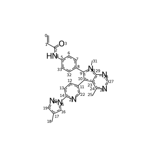 C=CC(=O)Nc1ccc(-c2c(-c3ccc(-n4cc(C)cn4)nc3)c3c(C)ncnc3n2C)cc1